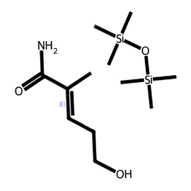 C/C(=C\CCO)C(N)=O.C[Si](C)(C)O[Si](C)(C)C